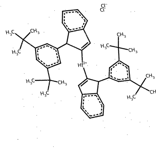 CC(C)(C)c1cc(C2[C]([Hf+2][C]3=Cc4ccccc4C3c3cc(C(C)(C)C)cc(C(C)(C)C)c3)=Cc3ccccc32)cc(C(C)(C)C)c1.[Cl-].[Cl-]